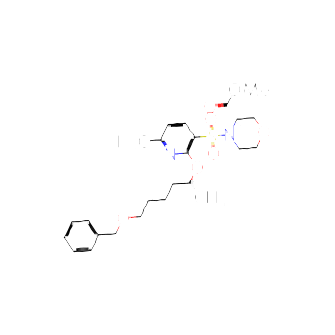 COC(=O)[C@@H]1COCCN1S(=O)(=O)c1ccc(C)nc1O[C@H](C)CCCCOCc1ccccc1